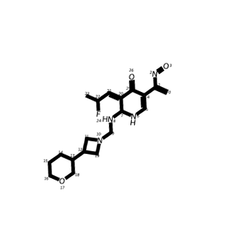 C=C(N=O)C1=CNC(NCN2CC(C3CCCOC3)C2)/C(=C\C(C)F)C1=O